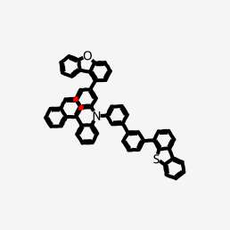 c1cc(-c2cccc(N(c3cccc(-c4cccc5oc6ccccc6c45)c3)c3ccccc3-c3cccc4ccccc34)c2)cc(-c2cccc3c2sc2ccccc23)c1